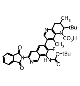 Cc1c(-c2cc3cc(N4C(=O)c5ccccc5C4=O)ncc3c(NC(=O)OC(C)(C)C)c2F)cnc2c1N(C(=O)O)C(C(C)(C)C)C(C)C2